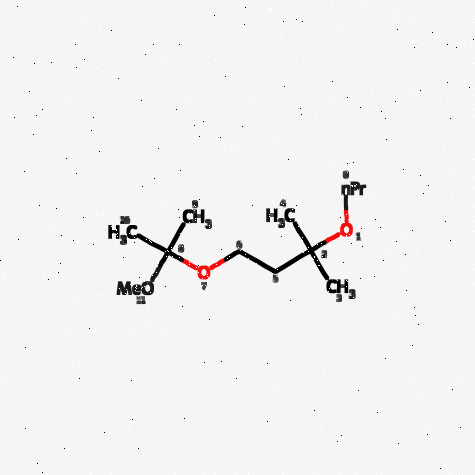 CCCOC(C)(C)CCOC(C)(C)OC